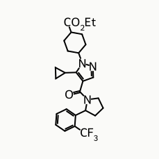 CCOC(=O)C1CCC(n2ncc(C(=O)N3CCCC3c3ccccc3C(F)(F)F)c2C2CC2)CC1